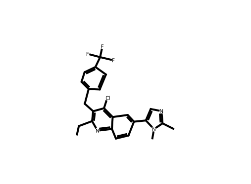 CCc1nc2ccc(-c3cnc(C)n3C)cc2c(Cl)c1Cc1ccc(C(F)(F)F)cc1